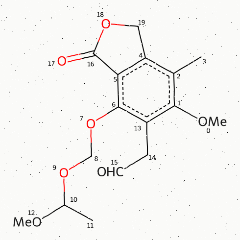 COc1c(C)c2c(c(OCOC(C)OC)c1CC=O)C(=O)OC2